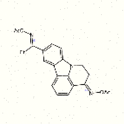 CC/C(=N\OC(C)=O)c1ccc2c(c1)c1cccc3c1n2CC/C3=N\OC(C)=O